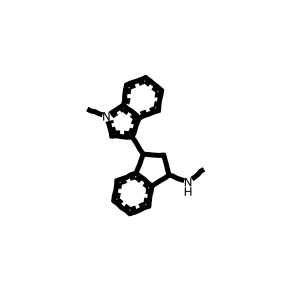 CNC1CC(c2cn(C)c3ccccc23)c2ccccc21